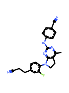 Cc1nc(Nc2ccc(C#N)cc2)nc2c1CCN2c1ccc(CCC#N)cc1F